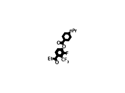 CCCC1CCC(C(=O)Oc2ccc(C(=O)CC)c(C(F)(F)F)c2F)CC1